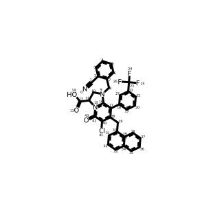 N#Cc1ccccc1CN1CC(C(=O)O)n2c1c(-c1cccc(C(F)(F)F)c1)c(Cc1cccc3ccccc13)c(Cl)c2=O